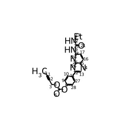 CC#CCOC(=O)Oc1ccc(-c2cnc3ccc(NC(=O)NCC)nc3n2)cc1